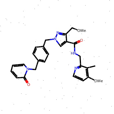 COCc1nn(Cc2ccc(Cn3ccccc3=O)cc2)cc1C(=O)NCc1nccc(OC)c1C